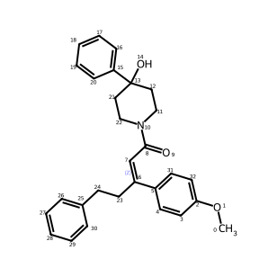 COc1ccc(/C(=C\C(=O)N2CCC(O)(c3ccccc3)CC2)CCc2ccccc2)cc1